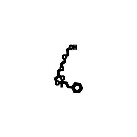 CC1(CCc2ccccc2)OCC(COCCOCCO)O1